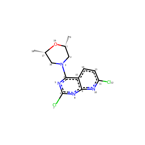 C[C@@H]1CN(c2nc(Cl)nc3nc(Cl)ccc23)C[C@H](C)O1